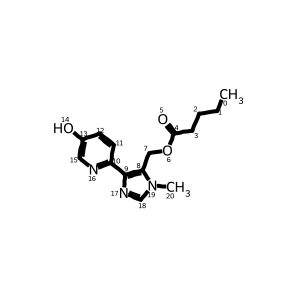 CCCCC(=O)OCc1c(-c2ccc(O)cn2)ncn1C